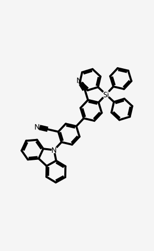 N#Cc1cc(-c2ccc([Si](c3ccccc3)(c3ccccc3)c3ccccc3)c(C#N)c2)ccc1-n1c2ccccc2c2ccccc21